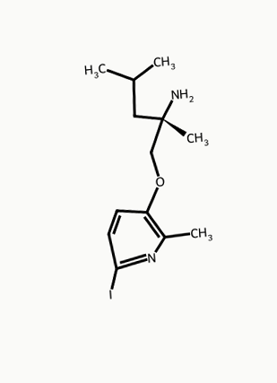 Cc1nc(I)ccc1OC[C@@](C)(N)CC(C)C